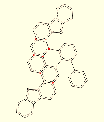 c1ccc(-c2ccccc2-c2c(-c3ccccc3)cccc2N(c2cccc(-c3cccc4c3sc3ccccc34)c2)c2cccc3c2oc2ccccc23)cc1